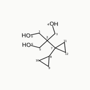 OCC(CO)(CO)C1(C2CC2)CC1